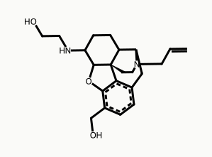 C=CCN1CC[C@@]23c4c5ccc(CO)c4OC2C(NCCO)CCC3C1C5